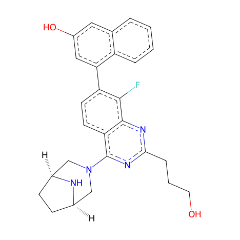 OCCCc1nc(N2C[C@H]3CC[C@@H](C2)N3)c2ccc(-c3cc(O)cc4ccccc34)c(F)c2n1